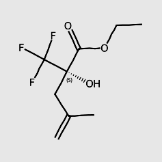 C=C(C)C[C@](O)(C(=O)OCC)C(F)(F)F